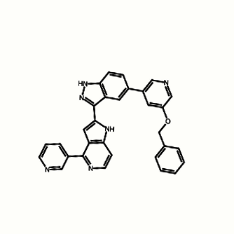 c1ccc(COc2cncc(-c3ccc4[nH]nc(-c5cc6c(-c7cccnc7)nccc6[nH]5)c4c3)c2)cc1